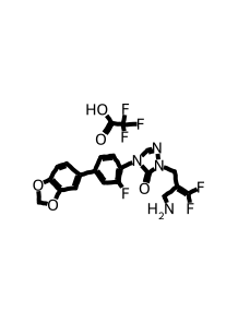 NCC(Cn1ncn(-c2ccc(-c3ccc4c(c3)OCO4)cc2F)c1=O)=C(F)F.O=C(O)C(F)(F)F